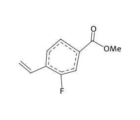 C=Cc1ccc(C(=O)OC)cc1F